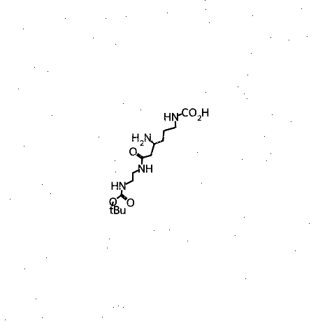 CC(C)(C)OC(=O)NCCNC(=O)C[C@@H](N)CCCNC(=O)O